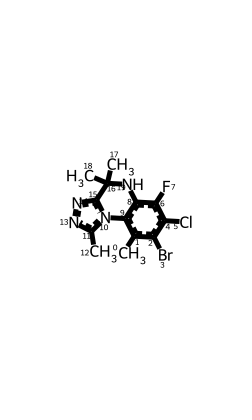 Cc1c(Br)c(Cl)c(F)c2c1-n1c(C)nnc1C(C)(C)N2